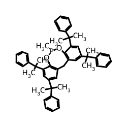 CP1Oc2c(cc(C(C)(C)c3ccccc3)cc2C(C)(C)c2ccccc2)Cc2cc(C(C)(C)c3ccccc3)cc(C(C)(C)c3ccccc3)c2O1